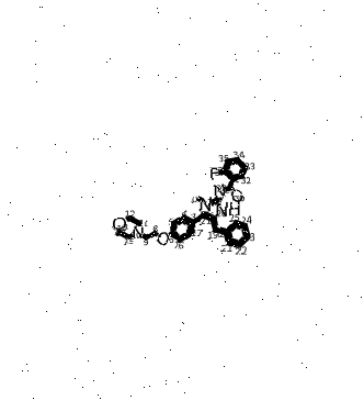 Cn1c(-c2ccc(OCCN3CCOCC3)cc2)c(Cc2ccccc2)[nH]/c1=N\C(=O)c1ccccc1F